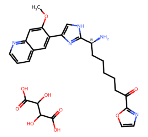 COc1cc2ncccc2cc1-c1c[nH]c([C@@H](N)CCCCCC(=O)c2ncco2)n1.O=C(O)C(O)C(O)C(=O)O